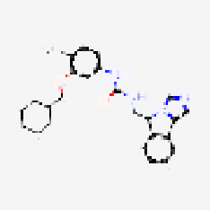 N#Cc1ccc(NC(=O)NCC2c3ccccc3-c3cncn32)cc1OCC1CCCCC1